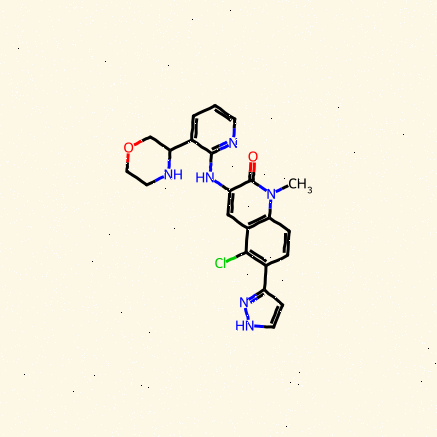 Cn1c(=O)c(Nc2ncccc2C2COCCN2)cc2c(Cl)c(-c3cc[nH]n3)ccc21